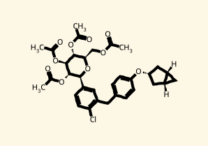 CC(=O)OC[C@H]1O[C@@H](c2ccc(Cl)c(Cc3ccc(O[C@@H]4C[C@@H]5C[C@@H]5C4)cc3)c2)[C@H](OC(C)=O)[C@@H](OC(C)=O)[C@@H]1OC(C)=O